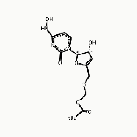 CC(C)(C)C(=O)OCOCC1=C[C@@H](O)[C@H](n2ccc(NO)nc2=O)O1